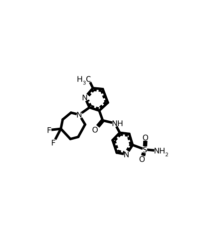 Cc1ccc(C(=O)Nc2ccnc(S(N)(=O)=O)c2)c(N2CCCC(F)(F)CC2)n1